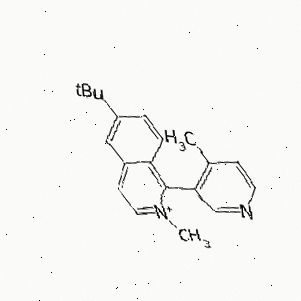 Cc1ccncc1-c1c2ccc(C(C)(C)C)cc2cc[n+]1C